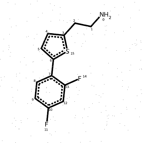 NCCc1ccc(-c2ccc(F)cc2F)s1